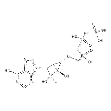 C[C@]1(O)[C@H](n2cnc3c(N)ncnc32)C2[C@H](OCP(=O)(O)OP(=O)(O)OP(=O)(O)O)[C@@]21O